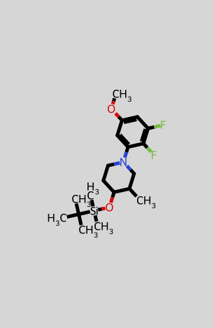 COc1cc(F)c(F)c(N2CCC(O[Si](C)(C)C(C)(C)C)C(C)C2)c1